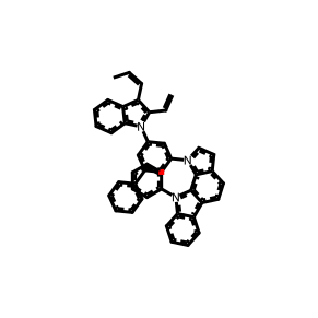 C=Cc1c(/C=C\C)c2ccccc2n1-c1cc(-c2ccccc2)cc(-n2ccc3ccc4c5ccccc5n(-c5ccccc5)c4c32)c1